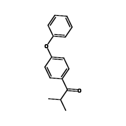 CC(C)C(=O)c1ccc(Oc2ccccc2)cc1